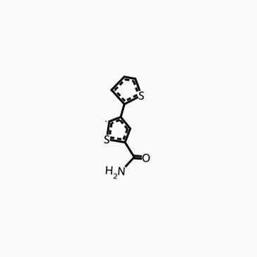 NC(=O)c1cc(-c2cccs2)[c]s1